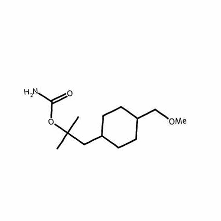 COCC1CCC(CC(C)(C)OC(N)=O)CC1